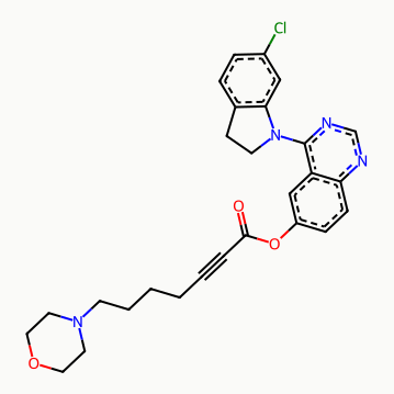 O=C(C#CCCCCN1CCOCC1)Oc1ccc2ncnc(N3CCc4ccc(Cl)cc43)c2c1